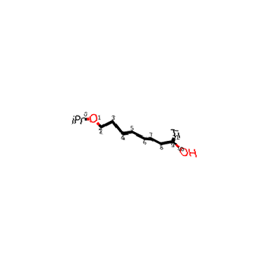 CC(C)OCCCCCCC[CH](O)[Ti]